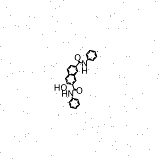 O=C(Nc1cc[c]cc1)c1ccc2cc(O)c(C(=O)Nc3ccccc3)cc2c1